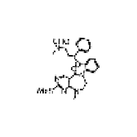 CSc1ncc2c(n1)N(C)CCN(c1ccccc1OC(CCN(C)C=O)c1ccccc1)C2=O